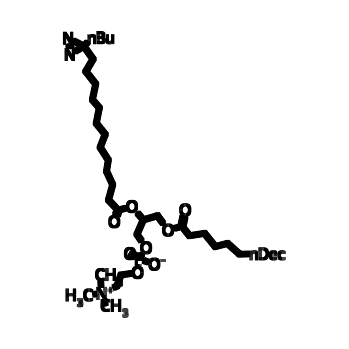 CCCCCCCCCCCCCCCC(=O)OCC(COP(=O)([O-])OCC[N+](C)(C)C)OC(=O)CCCCCCCCCCCCC1(CCCC)N=N1